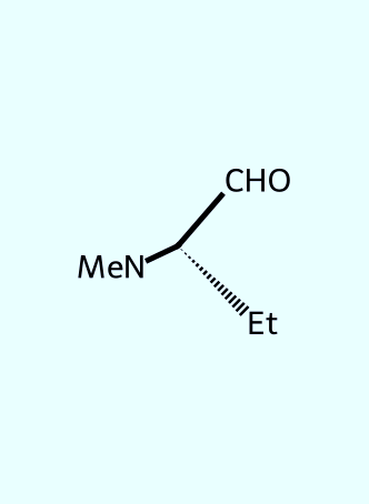 CC[C@@H](C=O)NC